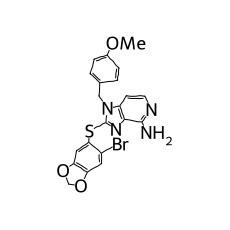 COc1ccc(Cn2c(Sc3cc4c(cc3Br)OCO4)nc3c(N)nccc32)cc1